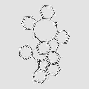 C1=CCC2Sc3cccc(-c4ccc5c6ccccc6n(-c6ccccc6)c5c4)c3-c3cc(-c4ccccc4)ccc3Sc3ccccc3C2=C1